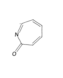 O=c1cccc[c]n1